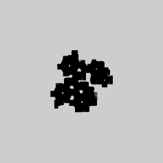 CC1(C)OCC(CCc2c(F)cccc2NC(=O)[C@@H](N=[N+]=[N-])C(c2cccc(F)c2)c2cccc(F)c2)N1C(=O)O